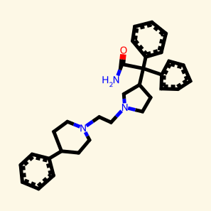 NC(=O)C(c1ccccc1)(c1ccccc1)C1CCN(CCN2CCC(c3ccccc3)CC2)C1